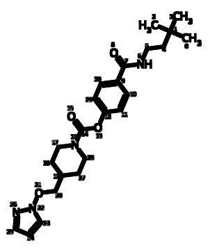 CC(C)(C)CCNC(=O)c1ccc(OC(=O)N2CCC(COn3cccn3)CC2)cc1